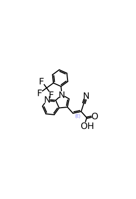 N#C/C(=C\c1cn(-c2ccccc2C(F)(F)F)c2ncccc12)C(=O)O